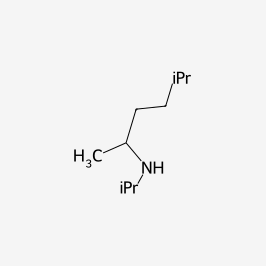 CC(C)CCC(C)NC(C)C